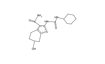 NC(=O)c1c(NC(=O)NC2CCCCC2)sc2c1CCC(O)C2